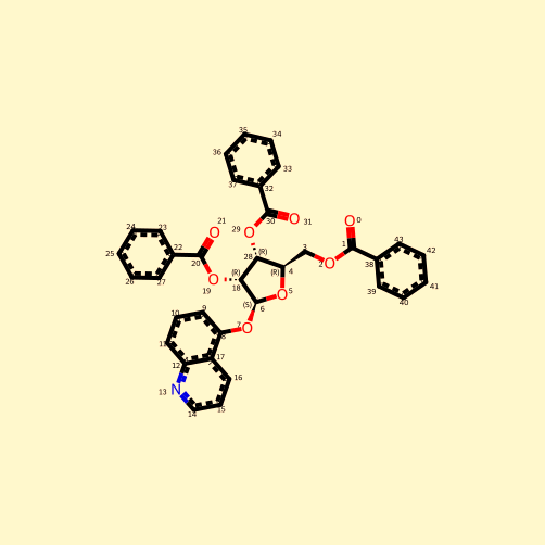 O=C(OC[C@H]1O[C@@H](Oc2cccc3ncccc23)[C@H](OC(=O)c2ccccc2)[C@@H]1OC(=O)c1ccccc1)c1ccccc1